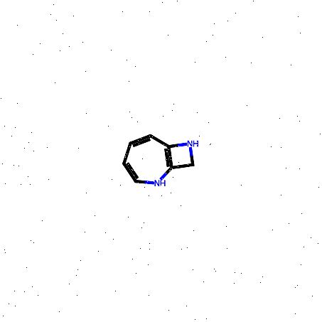 C1=CNC2=C(C=C1)NC2